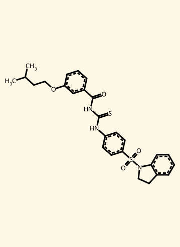 CC(C)CCOc1cccc(C(=O)NC(=S)Nc2ccc(S(=O)(=O)N3CCc4ccccc43)cc2)c1